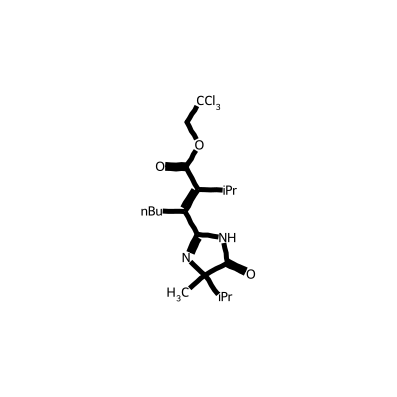 CCCC/C(C1=NC(C)(C(C)C)C(=O)N1)=C(\C(=O)OCC(Cl)(Cl)Cl)C(C)C